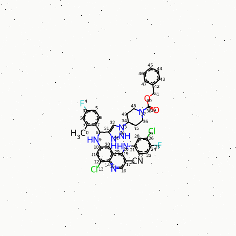 Cc1cc(F)ccc1C(Nc1cc(Cl)c2ncc(C#N)c(Nc3ccc(F)c(Cl)c3)c2c1)C1=CN(C2CCN(C(=O)OCc3ccccc3)CC2)NN1